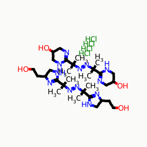 CC(C)(N=NC(C)(C)C1=NC(CCO)CN1)C1=NC(CCO)CN1.CC(C)(N=NC(C)(C)C1=NCC(O)CN1)C1=NCC(O)CN1.Cl.Cl.Cl.Cl